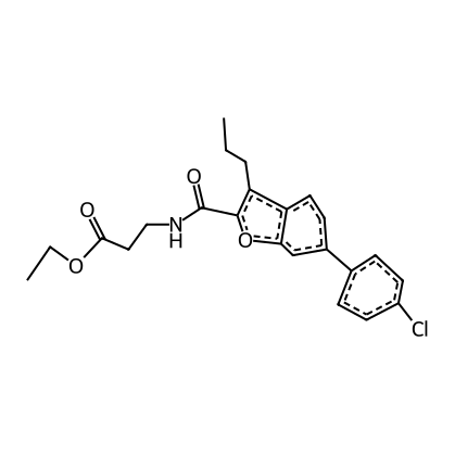 CCCc1c(C(=O)NCCC(=O)OCC)oc2cc(-c3ccc(Cl)cc3)ccc12